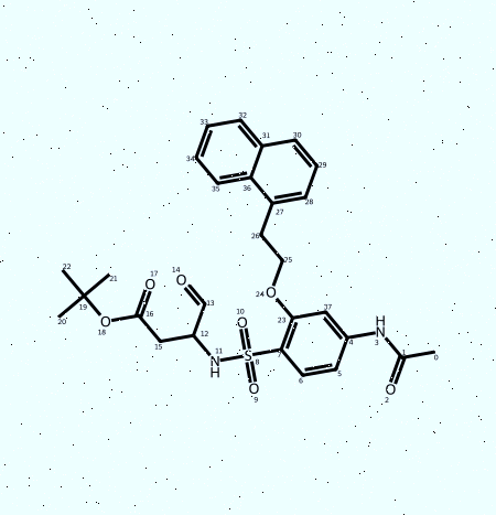 CC(=O)Nc1ccc(S(=O)(=O)NC(C=O)CC(=O)OC(C)(C)C)c(OCCc2cccc3ccccc23)c1